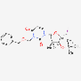 CO[C@@H]1[C@H](O[Si](C)(C)C(C)(C)C)[C@@H](CI)O[C@H]1n1ccc(=O)n(COCc2ccccc2)c1=O